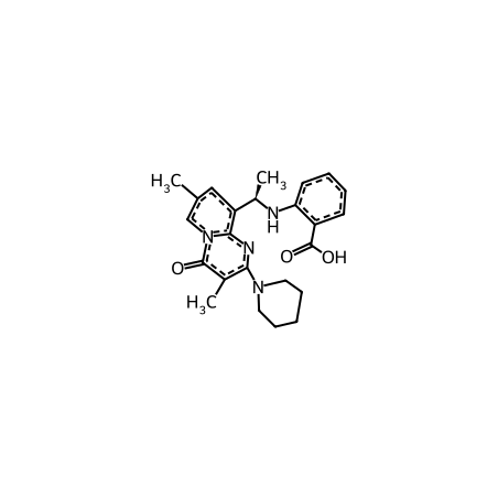 Cc1cc([C@@H](C)Nc2ccccc2C(=O)O)c2nc(N3CCCCC3)c(C)c(=O)n2c1